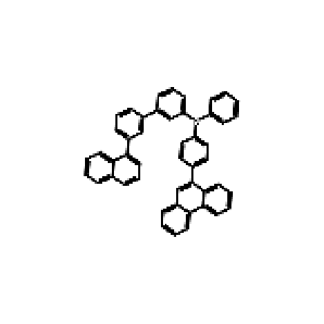 c1ccc(N(c2ccc(-c3cc4ccccc4c4ccccc34)cc2)c2cccc(-c3cccc(-c4cccc5ccccc45)c3)c2)cc1